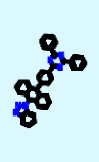 c1ccc(-c2nc(-c3ccccc3)nc(-c3ccc(-c4c5ccccc5c(-n5nnc6ccccc65)c5ccccc45)cc3)n2)cc1